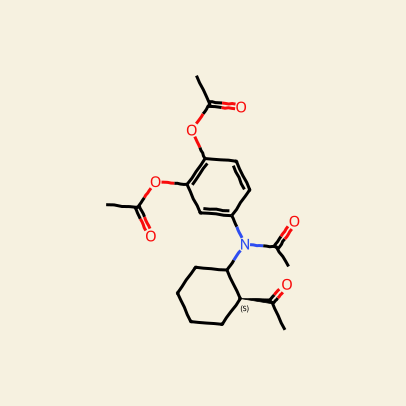 CC(=O)Oc1ccc(N(C(C)=O)C2CCCC[C@@H]2C(C)=O)cc1OC(C)=O